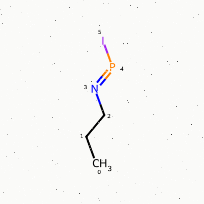 CCCN=PI